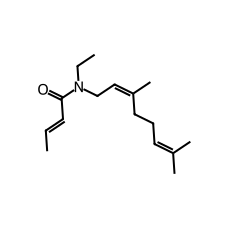 C/C=C/C(=O)N(CC)C/C=C(/C)CCC=C(C)C